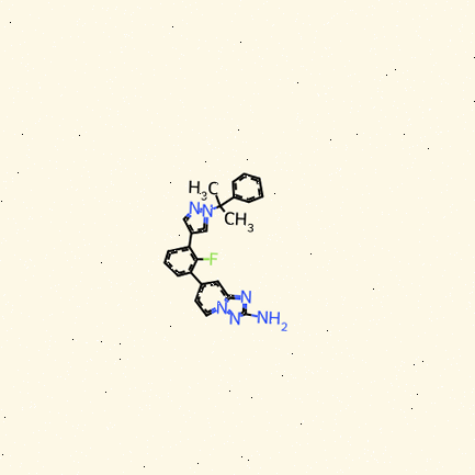 CC(C)(c1ccccc1)n1cc(-c2cccc(-c3ccn4nc(N)nc4c3)c2F)cn1